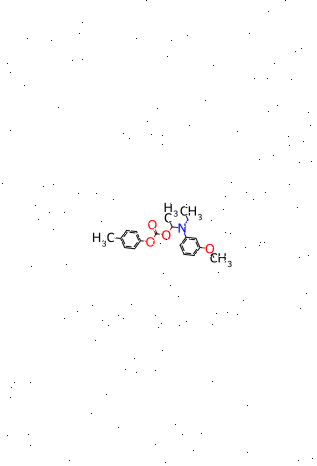 CCN(c1cccc(OC)c1)C(C)OC(=O)Oc1ccc(C)cc1